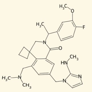 CNc1nccn1Cc1cc(CN(C)C)c2c(c1)C(=O)N(C(C)c1ccc(F)c(OC)c1)CC21CCC1